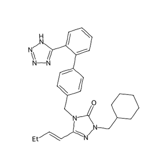 CC/C=C/c1nn(CC2CCCCC2)c(=O)n1Cc1ccc(-c2ccccc2-c2nnn[nH]2)cc1